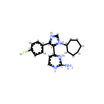 Nc1nccc(-c2c(-c3ccc(F)cc3)ncn2C2CCCCCC2)n1